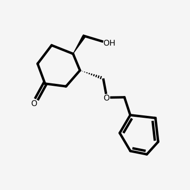 O=C1CC[C@@H](CO)[C@H](COCc2ccccc2)C1